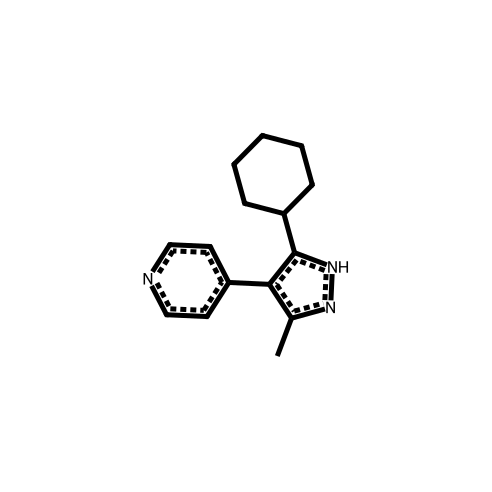 Cc1n[nH]c(C2CCCCC2)c1-c1ccncc1